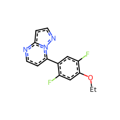 CCOc1cc(F)c(-c2ccnc3ccnn23)cc1F